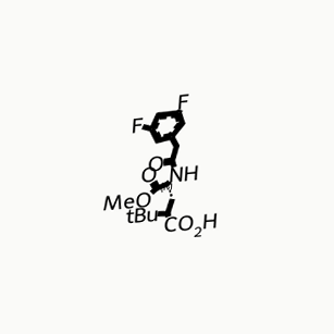 COC(=O)[C@@H](CC(C(=O)O)C(C)(C)C)NC(=O)Cc1cc(F)cc(F)c1